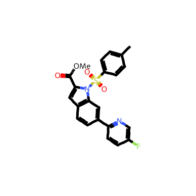 COC(=O)c1cc2ccc(-c3ccc(F)cn3)cc2n1S(=O)(=O)c1ccc(C)cc1